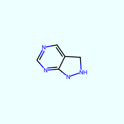 c1ncc2c(n1)[N]NC2